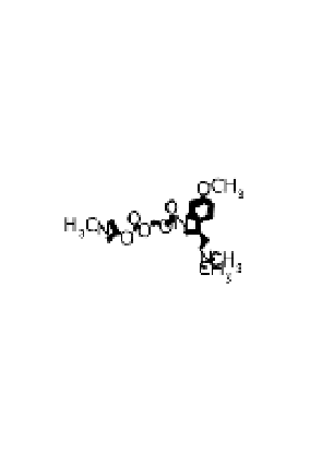 COc1ccc2c(CCN(C)C)cn(C(=O)OCOC(=O)OC3CN(C)C3)c2c1